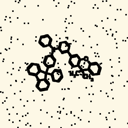 CC1(C)c2ccccc2Oc2cc(-c3cccc(N(c4ccccc4)c4ccc(C5(c6ccccc6)c6ccccc6-c6ccccc65)cc4)c3)ccc21